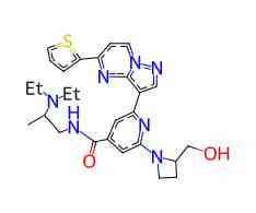 CCN(CC)C(C)CNC(=O)c1cc(-c2cnn3ccc(-c4cccs4)nc23)nc(N2CCC2CO)c1